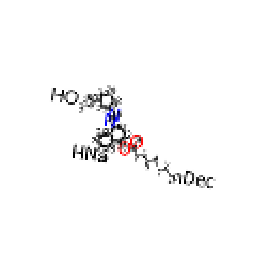 CCCCCCCCCCCCCCCCCC(=O)Oc1ccc(N=Nc2cccc(S(=O)(=O)O)c2)c2ccccc12.[NaH]